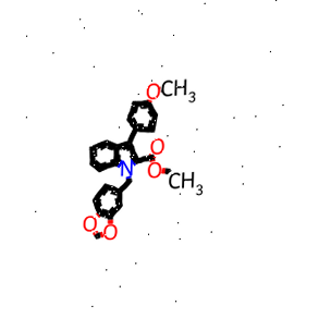 CCOC(=O)c1c(-c2ccc(OC)cc2)c2ccccc2n1Cc1ccc2c(c1)OCO2